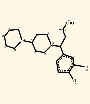 O=CNCC(c1ccc(Cl)c(Cl)c1)N1CCC(N2CCCCC2)CC1